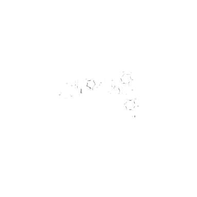 CC(C)c1ccc(COc2ccccc2C(=O)N2CCC(c3nc(C(=O)NC4CCCCC4)cs3)CC2)cc1